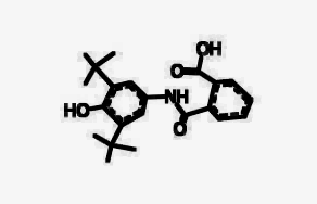 CC(C)(C)c1cc(NC(=O)c2ccccc2C(=O)O)cc(C(C)(C)C)c1O